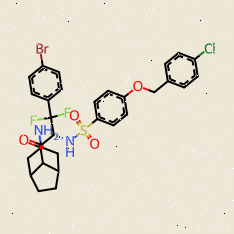 NC1CC2CCC(C1)C2C(=O)[C@@H](NS(=O)(=O)c1ccc(OCc2ccc(Cl)cc2)cc1)C(F)(F)c1ccc(Br)cc1